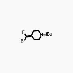 CC[C@@H](C)N1CCC(=C(F)Br)CC1